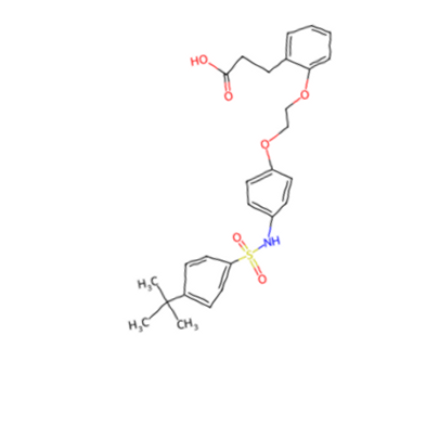 CC(C)(C)c1ccc(S(=O)(=O)Nc2ccc(OCCOc3ccccc3CCC(=O)O)cc2)cc1